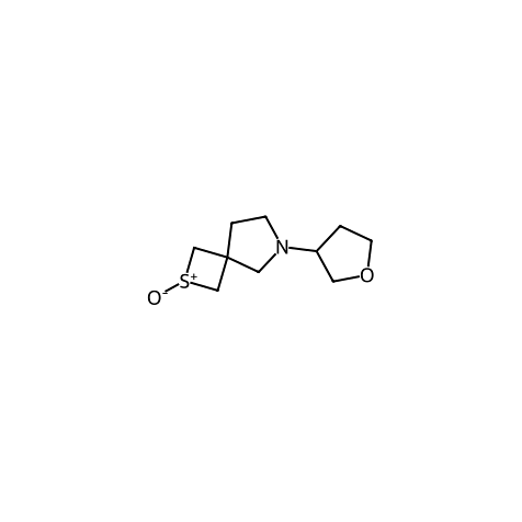 [O-][S+]1CC2(CCN(C3CCOC3)C2)C1